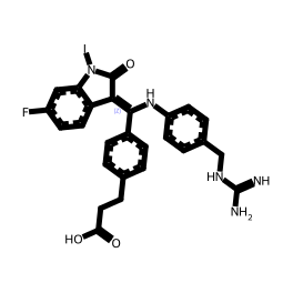 N=C(N)NCc1ccc(N/C(=C2\C(=O)N(I)c3cc(F)ccc32)c2ccc(CCC(=O)O)cc2)cc1